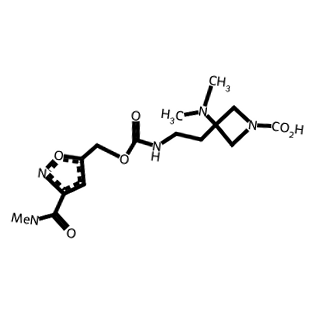 CNC(=O)c1cc(COC(=O)NCCC2(N(C)C)CN(C(=O)O)C2)on1